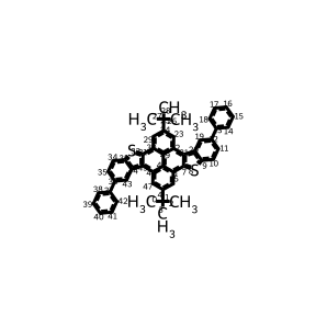 CC(C)(C)c1cc2c3sc4ccc(-c5ccccc5)cc4c3c3cc(C(C)(C)C)cc4c5sc6ccc(-c7ccccc7)cc6c5c(c1)c2c43